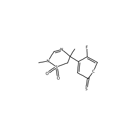 CN1C=NC(C)(C2=CC(=S)CC=C2F)CS1(=O)=O